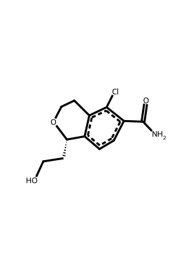 NC(=O)c1ccc2c(c1Cl)CCO[C@H]2CCO